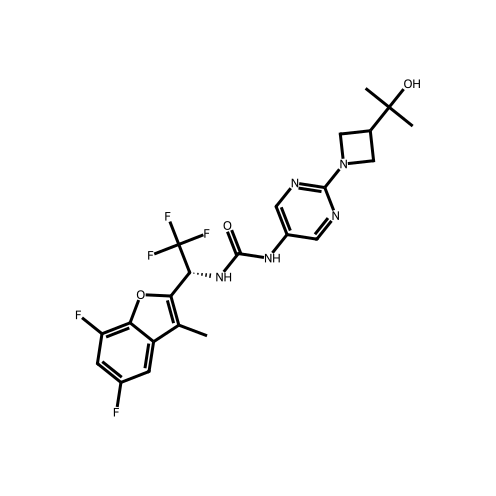 Cc1c([C@@H](NC(=O)Nc2cnc(N3CC(C(C)(C)O)C3)nc2)C(F)(F)F)oc2c(F)cc(F)cc12